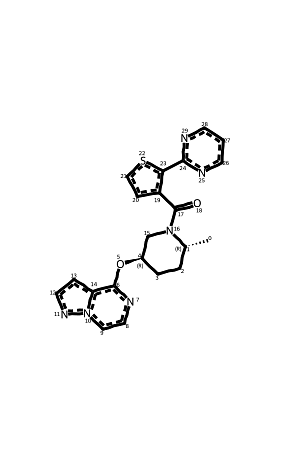 C[C@@H]1CC[C@@H](Oc2nccn3nccc23)CN1C(=O)c1ccsc1-c1ncccn1